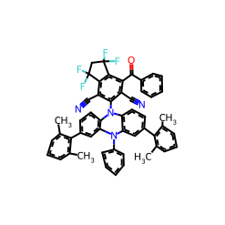 Cc1cccc(C)c1-c1ccc2c(c1)N(c1ccccc1)c1cc(-c3c(C)cccc3C)ccc1N2c1c(C#N)c(C(=O)c2ccccc2)c2c(c1C#N)C(F)(F)CC2(F)F